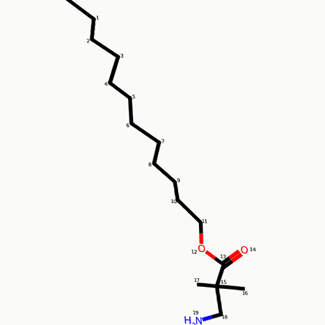 CCCCCCCCCCCCOC(=O)C(C)(C)CN